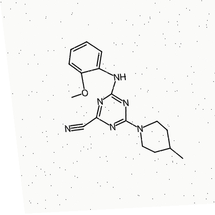 COc1ccccc1Nc1nc(C#N)nc(N2CCC(C)CC2)n1